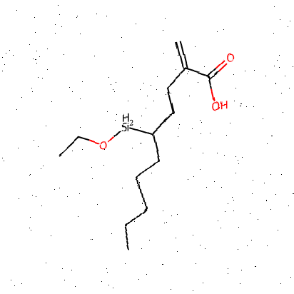 C=C(CCC(CCCCC)[SiH2]OCC)C(=O)O